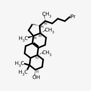 CC(C)CCC[C@@H](C)[C@H]1CC[C@@]2(C)C3=C(CC[C@]12C)[C@@]1(C)CC[C@H](O)C(C)(C)C1CC3